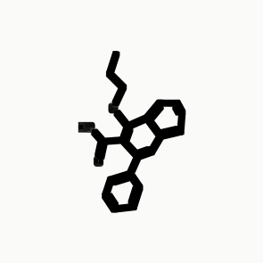 CCCOc1c(C(=O)O)c(-c2ccccc2)cc2ccccc12